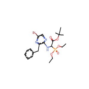 CCOP(=O)(OCC)C(Nc1ncc(Br)nc1Cc1ccccc1)C(=O)OC(C)(C)C